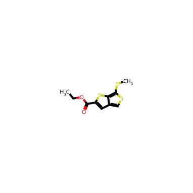 CCOC(=O)c1cc2csc(SC)c2s1